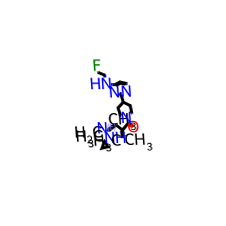 C=N/C(NC1(C)CC1)=C(\C)C(C(=O)N1CCC(c2nccc(NCCF)n2)CC1)=C(C)C